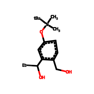 CCC(O)c1cc(O[Si](C)(C)C(C)(C)C)ccc1CO